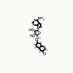 Nc1ncnc2c1ccn2[C@@H]1O[C@H](COc2ccc3cc(Cl)cnc3c2)[C@@H](O)[C@H]1O